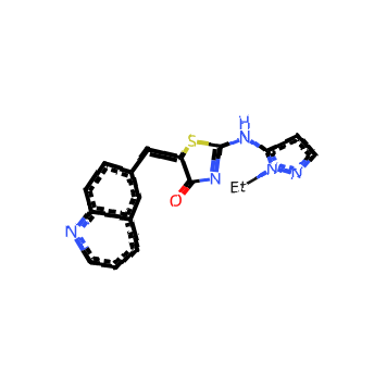 CCn1nccc1NC1=NC(=O)C(=Cc2ccc3ncccc3c2)S1